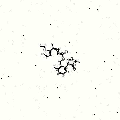 C=Cn1nccc1/C(C)=N\N=C(/CC)OCc1c(C)cccc1-n1nnn(C)c1=O